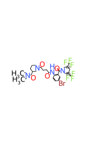 CCN(CC)C(=O)C1CCCN(C(=O)CCC(=O)Nc2ccc(Br)cc2C(=O)N2C[C@H](C(F)(F)F)C[C@H](C(F)(F)F)C2)C1